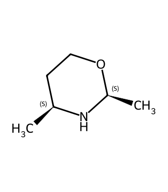 C[C@H]1CCO[C@@H](C)N1